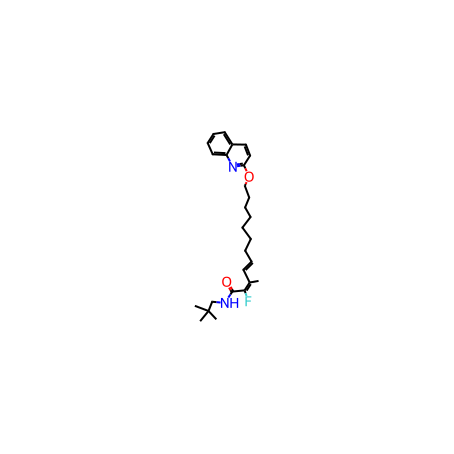 CC(/C=C/CCCCCCCOc1ccc2ccccc2n1)=C(\F)C(=O)NCC(C)(C)C